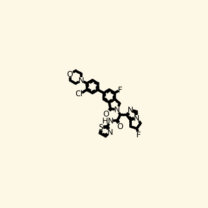 O=C(Nc1nccs1)C(c1ncn2c1CC(F)C2)N1Cc2c(F)cc(-c3ccc(N4CCOCC4)c(Cl)c3)cc2C1=O